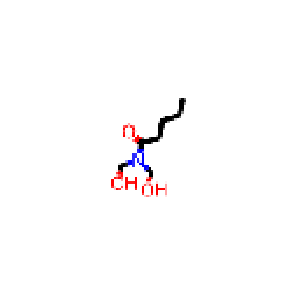 CCCCC(=O)N(CO)CO